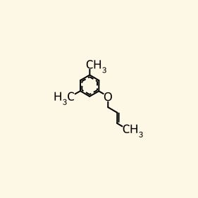 C/C=C/COc1cc(C)cc(C)c1